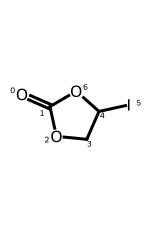 O=C1OCC(I)O1